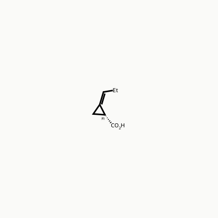 CCC=C1C[C@H]1C(=O)O